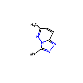 CCCc1nnc2ccc(C)nn12